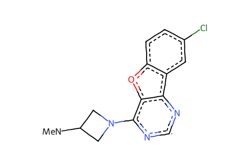 CNC1CN(c2n[c]nc3c2oc2ccc(Cl)cc23)C1